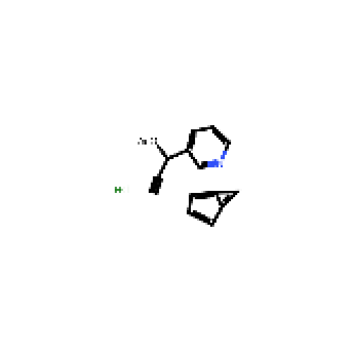 C#CC(OC(C)=O)c1cccnc1.Cl.c1cc2cc-2c1